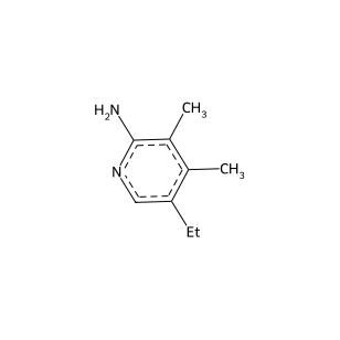 CCc1cnc(N)c(C)c1C